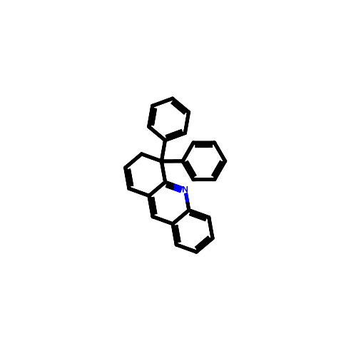 C1=Cc2cc3ccccc3nc2C(c2ccccc2)(c2ccccc2)C1